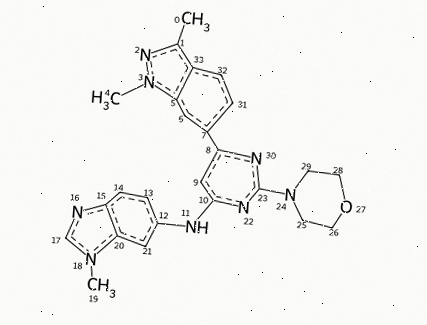 Cc1nn(C)c2cc(-c3cc(Nc4ccc5ncn(C)c5c4)nc(N4CCOCC4)n3)ccc12